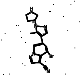 Cc1c(-c2cc(Br)c3c(C#N)cnn3c2)cnn1[C@H]1CCNC1